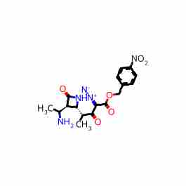 CC(C(=O)C(=[N+]=[N-])C(=O)OCc1ccc([N+](=O)[O-])cc1)[C@H]1NC(=O)[C@@H]1C(C)N